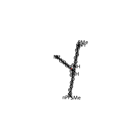 CCC/C(CSC)=N/OCCOCCOCCOCCOCCC(=O)NCCN(CCNC(=O)CCOCCOCCOCCOCCO/N=C(\CCC)CSC)C(=O)CCOCCOCCOCCOCCN=[N+]=[N-]